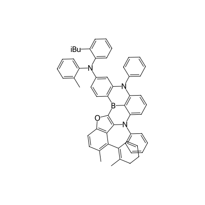 CCC(C)c1ccccc1N(c1ccc2c(c1)N(c1ccccc1)c1cccc3c1B2c1oc2ccc(C)c(C4=C(C)CCC=C4)c2c1N3c1ccccc1)c1ccccc1C